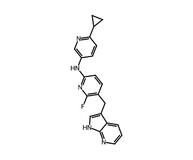 Fc1nc(Nc2ccc(C3CC3)nc2)ccc1Cc1c[nH]c2ncccc12